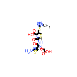 Cn1nnnc1SCC1=C(C(=O)O)N2C(=O)C(NC(=O)C(=NOCC(=O)O)c3csc(N)n3)[C@@H]2SC1